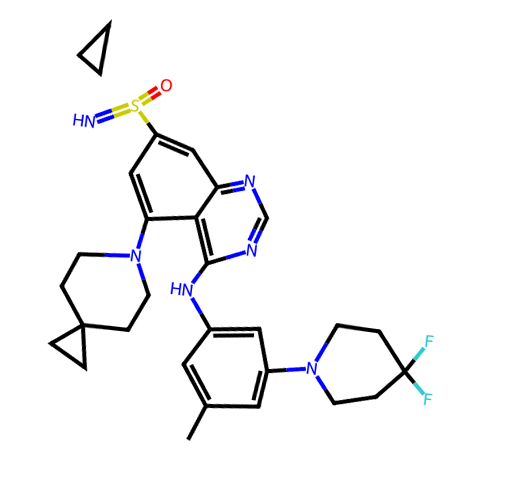 Cc1cc(Nc2ncnc3cc([S@](=N)(=O)C4CC4)cc(N4CCC5(CC4)CC5)c23)cc(N2CCC(F)(F)CC2)c1